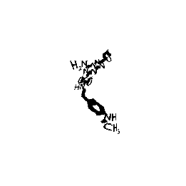 CCNc1ccc(CCNS(=O)(=O)c2nc(N)n3nc(-c4ccco4)nc3n2)cc1